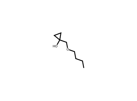 CCCCOCC1(O)CC1